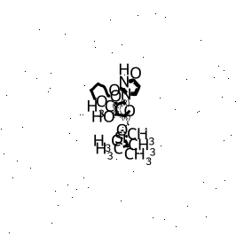 CC(C)(C)[Si](C)(C)OC[C@H]1O[C@@H](n2ccc(=O)[nH]c2=O)[C@](C)(OC2CCCCO2)[C@@H]1O